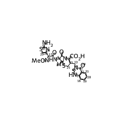 CON=C(C(=O)N[C@@H]1C(=O)N2C(C(=O)O)=C(CN3SNc4ccccc4C3=O)CS[C@H]12)c1csc(N)n1